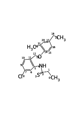 CCC(=S)Nc1cc(Cl)ccc1COc1ccc(CC)cc1C